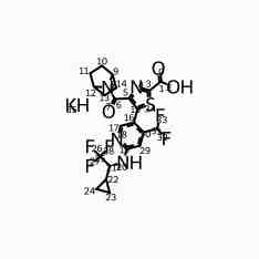 O=C(O)c1nc(C(=O)N2C3CCC2CC3)c(-c2cnc(N[C@@H](C3CC3)C(F)(F)F)cc2C(F)F)s1.[KH]